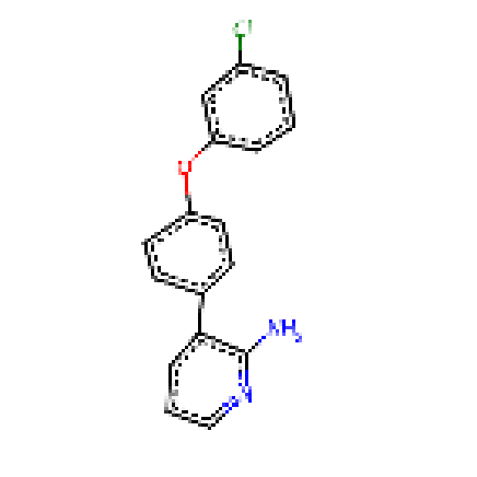 Nc1ncccc1-c1ccc(Oc2cccc(Cl)c2)cc1